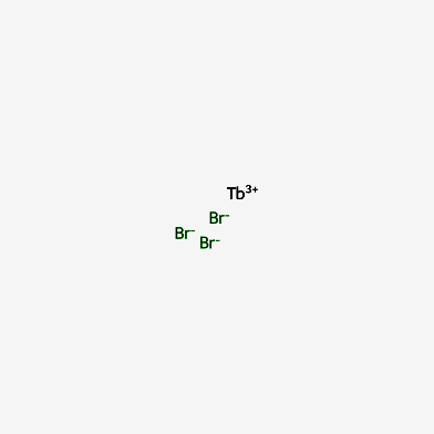 [Br-].[Br-].[Br-].[Tb+3]